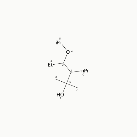 CCCC(C(CC)OC(C)C)C(C)(C)O